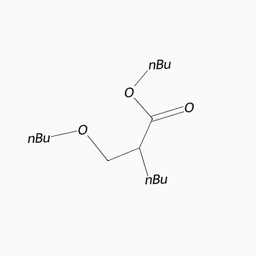 CCCCOCC(CCCC)C(=O)OCCCC